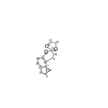 c1cc2ccc3c(c2o1)CCC1(OCCO1)O3